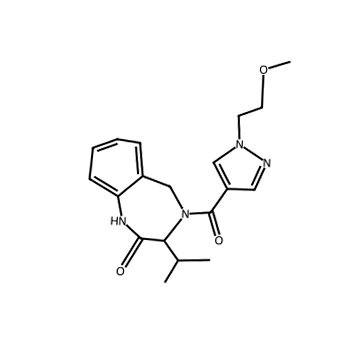 COCCn1cc(C(=O)N2Cc3ccccc3NC(=O)C2C(C)C)cn1